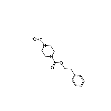 O=[C]N1CCN(C(=O)OCCc2ccccc2)CC1